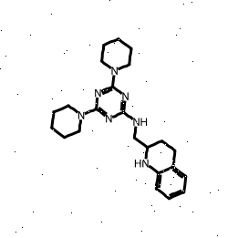 c1ccc2c(c1)CCC(CNc1nc(N3CCCCC3)nc(N3CCCCC3)n1)N2